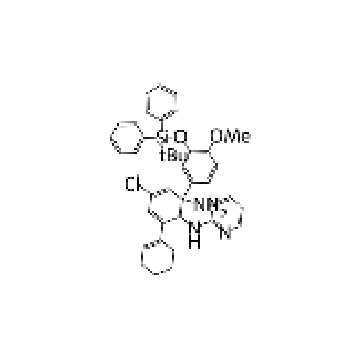 COc1ccc(C2(N)C=C(Cl)C=C(C3=CCCCC3)C2Nc2ncccn2)cc1O[Si](c1ccccc1)(c1ccccc1)C(C)(C)C